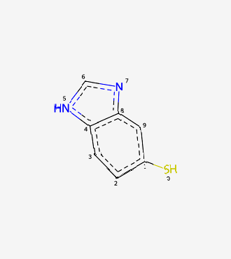 Sc1ccc2[nH]cnc2c1